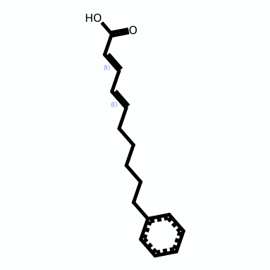 O=C(O)/C=C/C=C/CCCCCc1ccccc1